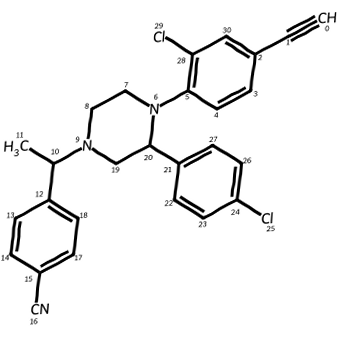 C#Cc1ccc(N2CCN(C(C)c3ccc(C#N)cc3)CC2c2ccc(Cl)cc2)c(Cl)c1